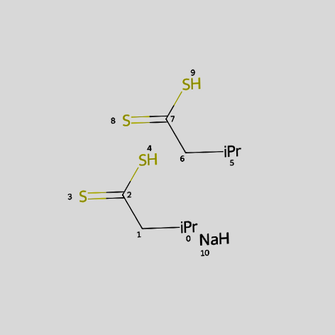 CC(C)CC(=S)S.CC(C)CC(=S)S.[NaH]